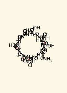 CCCC[C@H]1C(=O)N(C)CC(=O)N[C@@H](CC(=O)O)C(=O)N[C@@H](C(C)C)C(=O)N(C)[C@@H](Cc2ccccc2)C(=O)N[C@@H](Cc2ccc(O)cc2)C(=O)N(C)CC(=O)N[C@@H](Cc2c[nH]c3ccccc23)C(=O)N[C@@H](Cc2ccc(O)cc2)C(=O)N[C@@H](CC(C)C)C(=O)N[C@H](C(=O)NCC(N)=O)CSCC(=O)N[C@@H](Cc2cc(Cl)cc(Cl)c2)C(=O)N(C)[C@@H](Cc2ccccc2)C(=O)N1C